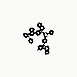 Fc1ccc2c(c1)c1c3ccccc3ccc1n2-c1ccc(-c2nc(-c3ccccc3)nc(-n3c4ccc(-c5cc6c(c7ccccc57)c5ccccc5n6-c5ccccc5)cc4c4c5ccccc5ccc43)n2)cc1